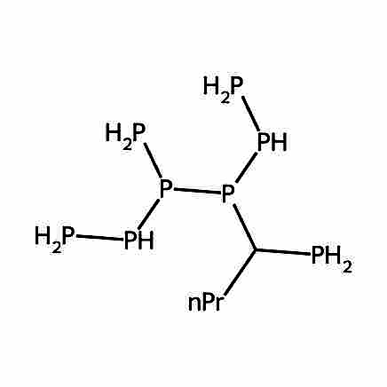 CCCC(P)P(PP)P(P)PP